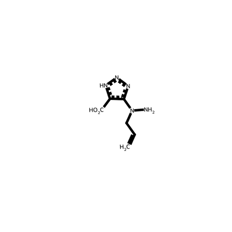 C=CCN(N)c1nn[nH]c1C(=O)O